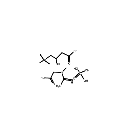 CN(CC(=O)O)C(=N)N.C[N+](C)(C)CC(O)CC(=O)[O-].O=P(O)(O)O